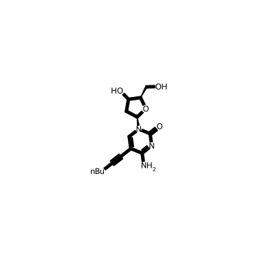 CCCCC#Cc1cn([C@H]2CC(O)[C@@H](CO)O2)c(=O)nc1N